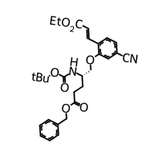 CCOC(=O)C=Cc1ccc(C#N)cc1OC[C@H](CCC(=O)OCc1ccccc1)NC(=O)OC(C)(C)C